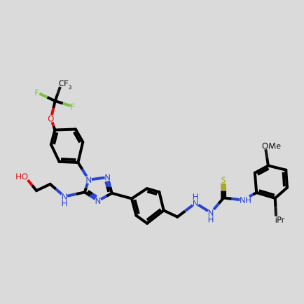 COc1ccc(C(C)C)c(NC(=S)NNCc2ccc(-c3nc(NCCO)n(-c4ccc(OC(F)(F)C(F)(F)F)cc4)n3)cc2)c1